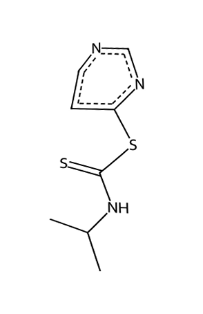 CC(C)NC(=S)Sc1ccncn1